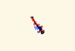 C=C(C)OCOCCOC(=O)CCC(=O)Nc1cc(=O)n2cc(-c3ccccc3C)c(C#N)c2[nH]1